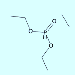 CC.CCO[PH](=O)OCC